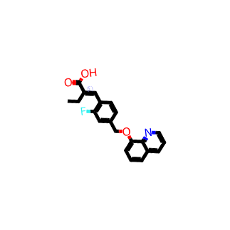 CC/C(=C\c1ccc(COc2cccc3cccnc23)cc1F)C(=O)O